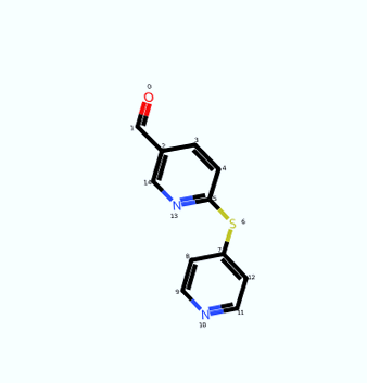 O=Cc1ccc(Sc2ccncc2)nc1